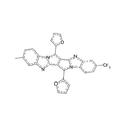 Cc1ccc2c(c1)nc1c3c(-c4ccco4)n4c5ccc(C(F)(F)F)cc5nc4c3c(-c3ccco3)n21